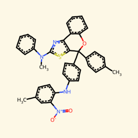 Cc1ccc(C2(c3ccc(Nc4ccc(C)cc4[N+](=O)[O-])cc3)Oc3ccccc3-c3nc(N(C)c4ccccc4)sc32)cc1